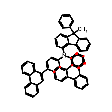 CC1(c2ccccc2)c2ccccc2-c2c(N(c3ccc(-c4cc5ccccc5c5ccccc45)cc3)c3ccccc3-c3ccccc3-c3ccccc3-c3ccccc3)cccc21